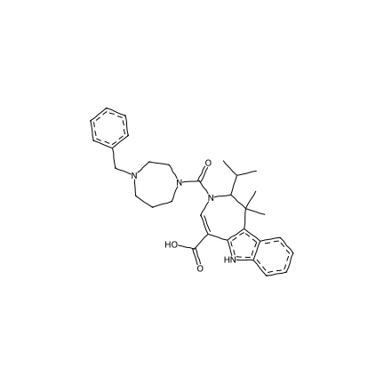 CC(C)C1N(C(=O)N2CCCN(Cc3ccccc3)CC2)C=C(C(=O)O)c2[nH]c3ccccc3c2C1(C)C